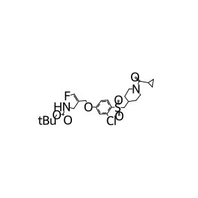 CC(C)(C)OC(=O)NC/C(=C\F)COc1ccc(S(=O)(=O)CC2CCN(C(=O)C3CC3)CC2)c(Cl)c1